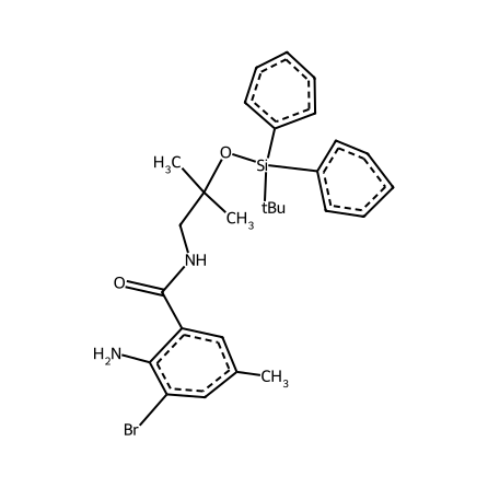 Cc1cc(Br)c(N)c(C(=O)NCC(C)(C)O[Si](c2ccccc2)(c2ccccc2)C(C)(C)C)c1